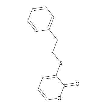 O=c1occcc1SCCc1ccccc1